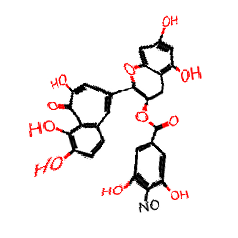 O=Nc1c(O)cc(C(=O)O[C@@H]2Cc3c(O)cc(O)cc3O[C@@H]2c2cc(O)c(=O)c3c(O)c(O)ccc3c2)cc1O